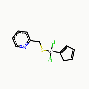 [Cl][Zr]([Cl])([S]Cc1ccccn1)[C]1=CC=CC1